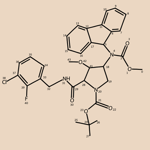 COC(=O)N(C1c2ccccc2-c2ccccc21)C1CN(C(=O)OC(C)(C)C)C(C(=O)NCc2cccc(Cl)c2F)C1OC